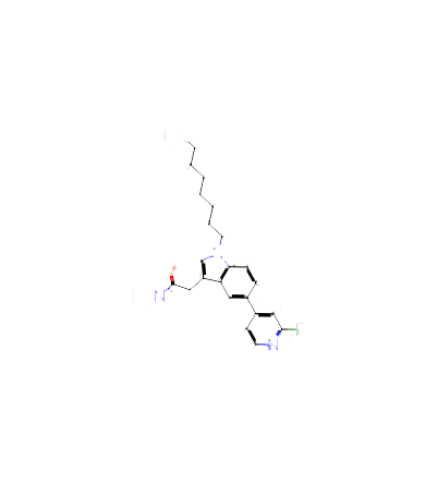 CCCCCCCCn1cc(CC(N)=O)c2cc(-c3ccnc(F)c3)ccc21